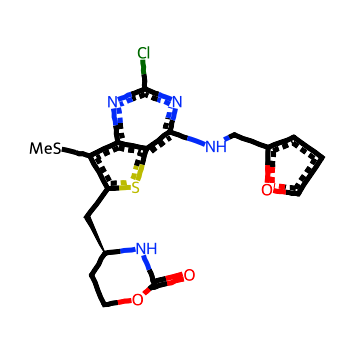 CSc1c(C[C@@H]2CCOC(=O)N2)sc2c(NCc3ccco3)nc(Cl)nc12